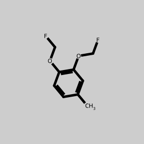 Cc1ccc(OCF)c(OCF)c1